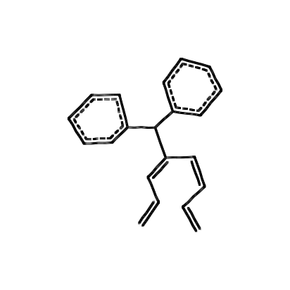 C=C/C=C\C(=C/C=C)C(c1ccccc1)c1ccccc1